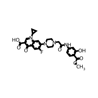 COC(=O)c1ccc(NC(=O)CN2CCN(c3cc4c(cc3F)c(=O)c(C(=O)O)cn4C3CC3)CC2)cc1O